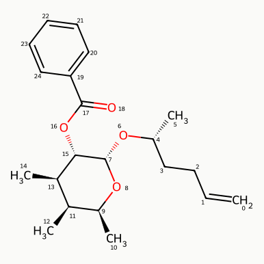 C=CCC[C@@H](C)O[C@@H]1O[C@@H](C)[C@@H](C)[C@@H](C)[C@@H]1OC(=O)c1ccccc1